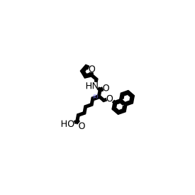 O=C(O)CCCC/C=C(\COc1cccc2ccccc12)C(=O)NCc1ccco1